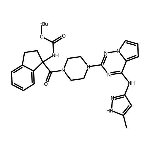 Cc1cc(Nc2nc(N3CCN(C(=O)C4(NC(=O)OC(C)(C)C)CCc5ccccc54)CC3)nn3cccc23)n[nH]1